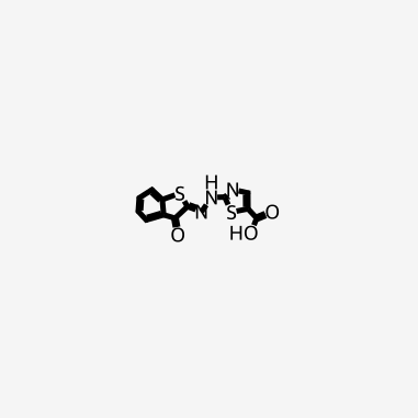 O=C(O)c1cnc(NN=C2Sc3ccccc3C2=O)s1